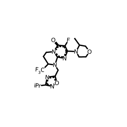 CC(C)c1noc(CN2c3nc(N4CCOCC4C)c(F)c(=O)n3CCC2C(F)(F)F)n1